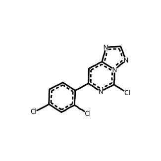 Clc1ccc(-c2cc3ncnn3c(Cl)n2)c(Cl)c1